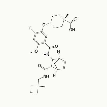 COc1cc(F)c(O[C@H]2CC[C@@](C)(C(=O)O)CC2)cc1C(=O)N[C@H]1[C@@H](C(=O)NCC2(C)CCC2)[C@@H]2C=C[C@H]1C2